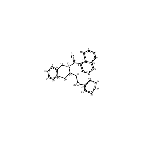 O=C(c1cccc2ccccc12)N1Cc2ccccc2CC1COc1ccccc1